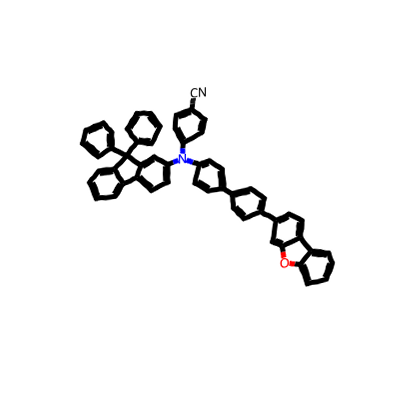 N#Cc1ccc(N(c2ccc(-c3ccc(-c4ccc5c(c4)oc4ccccc45)cc3)cc2)c2ccc3c(c2)C(c2ccccc2)(c2ccccc2)c2ccccc2-3)cc1